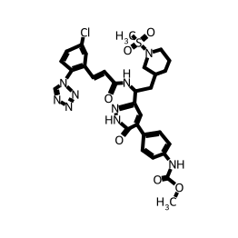 COC(=O)Nc1ccc(-c2cc(C(CC3CCCN(S(C)(=O)=O)C3)NC(=O)C=Cc3cc(Cl)ccc3-n3cnnn3)n[nH]c2=O)cc1